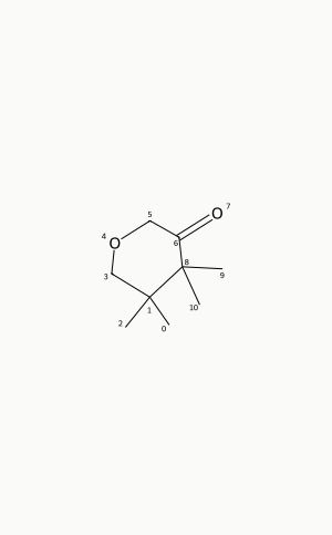 CC1(C)COCC(=O)C1(C)C